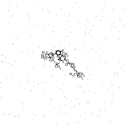 COC[C@]12C[C@H]1[C@@](C)(c1cc(B3OC(C)(C)C(C)(C)O3)ccc1F)N=C(OC(=O)NCOCC[Si](C)(C)C)S2